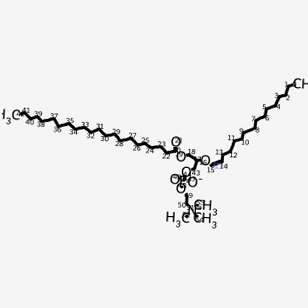 CCCCCCCCCCCCCC/C=C\OC(COC(=O)CCCCCCCCCCCCCCCCCCCCC)COP(=O)([O-])OCC[N+](C)(C)C